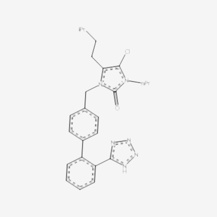 CCCn1c(Cl)c(CCC(C)C)n(Cc2ccc(-c3ccccc3-c3nnn[nH]3)cc2)c1=O